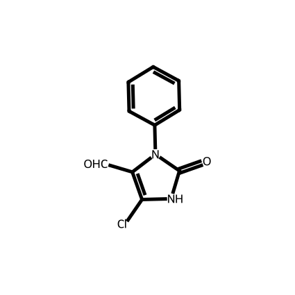 O=Cc1c(Cl)[nH]c(=O)n1-c1ccccc1